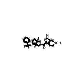 CN1CCc2c(C(=O)N3C[C@H]4C[C@H](c5ccccc5C(F)(F)F)C[C@H]4C3)n[nH]c2C1